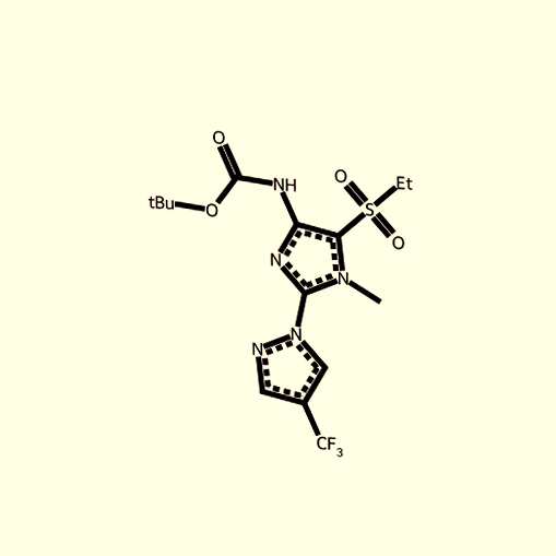 CCS(=O)(=O)c1c(NC(=O)OC(C)(C)C)nc(-n2cc(C(F)(F)F)cn2)n1C